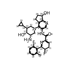 N[C@@H]1CN(c2c(NC(=O)C3=CCC(F)C(c4c(F)cccc4F)=N3)cnc3c2CCC3O)CC(C2CC2)[C@H]1O